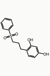 O=S(=O)(CCCc1ccc(O)cc1O)c1ccccc1